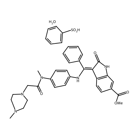 COC(=O)c1ccc2c(c1)NC(=O)C2=C(Nc1ccc(N(C)C(=O)CN2CCN(C)CC2)cc1)c1ccccc1.O.O=S(=O)(O)c1ccccc1